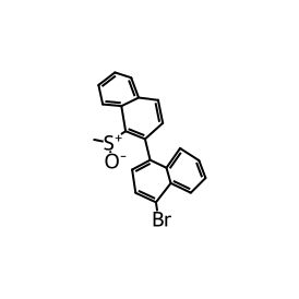 C[S+]([O-])c1c(-c2ccc(Br)c3ccccc23)ccc2ccccc12